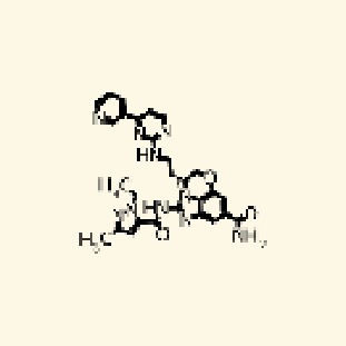 CCn1nc(C)cc1C(=O)Nc1nc2cc(C(N)=O)cc3c2n1[C@@H](CCNc1nccc(-c2cccnc2)n1)CO3